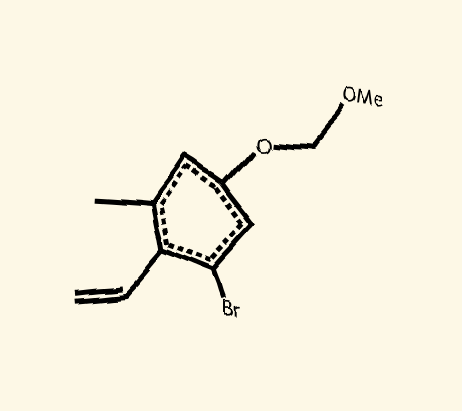 C=Cc1c(C)cc(OCOC)cc1Br